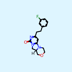 O=c1nc(CCc2cccc(F)c2)cc2n1C[C@H]1COCCN21